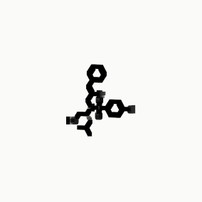 CC(C)C[C@H](CO)N(C/C(Br)=C/c1ccccc1)S(=O)(=O)c1ccc(Cl)cc1